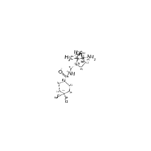 CC1(C)[C@@H](CNC(=O)C2CCC(F)(F)CC2)CC[C@@]1(C)N